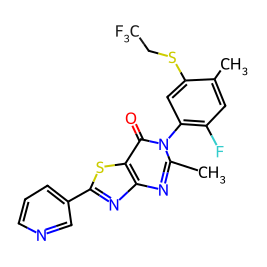 Cc1cc(F)c(-n2c(C)nc3nc(-c4cccnc4)sc3c2=O)cc1SCC(F)(F)F